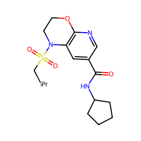 CC(C)CS(=O)(=O)N1CCOc2ncc(C(=O)NC3CCCC3)cc21